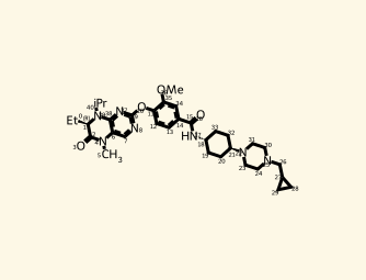 CC[C@@H]1C(=O)N(C)c2cnc(Oc3ccc(C(=O)N[C@H]4CC[C@H](N5CCN(CC6CC6)CC5)CC4)cc3OC)nc2N1C(C)C